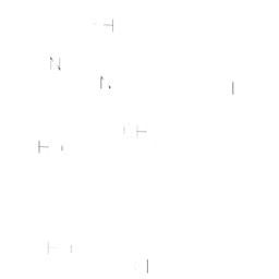 Cc1cc(C(C)(C)c2cnc(S)n2-c2ccc(F)cc2)ccc1Cl